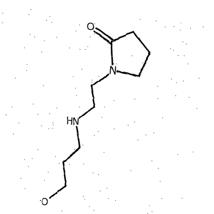 [O]CCCNCCN1CCCC1=O